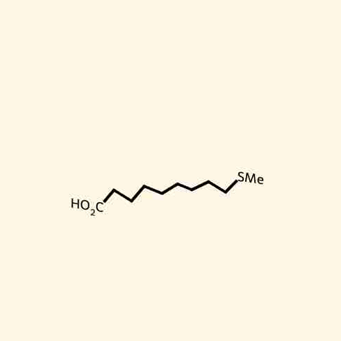 CSCCCCCCCCC(=O)O